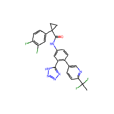 CC(F)(F)c1ccc(-c2ccc(NC(=O)C3(c4ccc(F)c(F)c4)CC3)cc2-c2nnn[nH]2)cn1